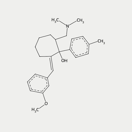 COc1cccc(C=C2CCCCC(CN(C)C)C2(O)c2ccc(C)cc2)c1